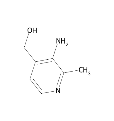 Cc1nccc(CO)c1N